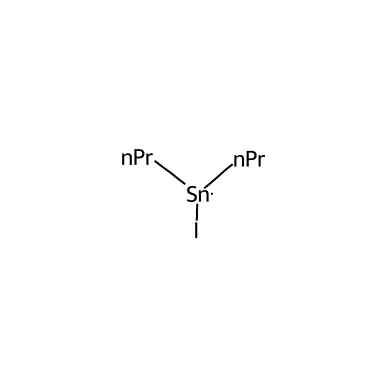 CC[CH2][Sn]([I])[CH2]CC